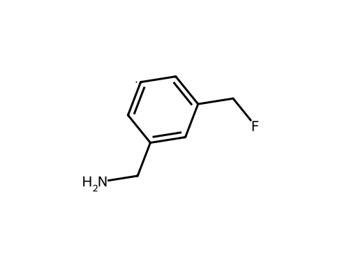 NCc1c[c]cc(CF)c1